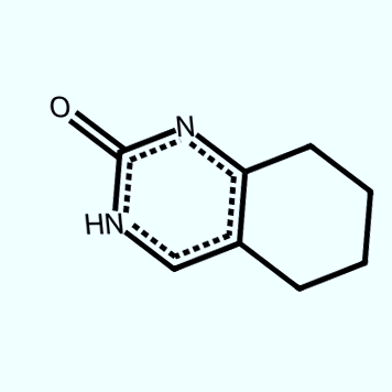 O=c1nc2c(c[nH]1)CCCC2